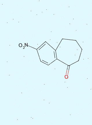 O=C1CCCCc2cc([N+](=O)[O-])ccc21